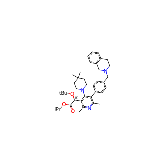 Cc1nc(C)c([C@H](OC(C)(C)C)C(=O)OC(C)C)c(N2CCC(C)(C)CC2)c1-c1ccc(CN2CCc3ccccc3C2)cc1